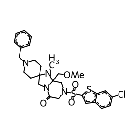 COCC12CN(S(=O)(=O)c3cc4ccc(Cl)cc4s3)CC(=O)N1CC1(CCN(Cc3ccccc3)CC1)N2C